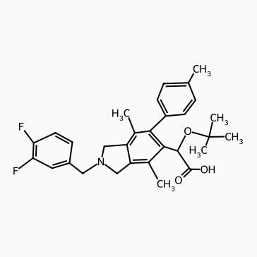 Cc1ccc(-c2c(C)c3c(c(C)c2C(OC(C)(C)C)C(=O)O)CN(Cc2ccc(F)c(F)c2)C3)cc1